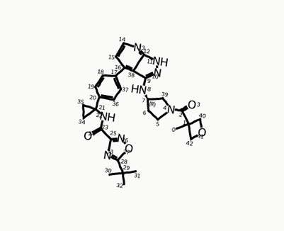 CC1(C(=O)N2CC[C@@H](Nc3n[nH]c4nccc(-c5ccc(C6(NC(=O)c7noc(C(C)(C)C)n7)CC6)cc5)c34)C2)COC1